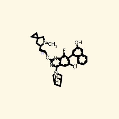 CN1CC2(CC2)CC1/C=C/Oc1nc(N2CC3CCC(C2)N3)c2cc(Cl)c(-c3cc(O)cc4ccccc34)c(F)c2n1